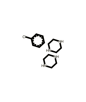 C1CNCCN1.C1CNCCN1.Clc1ccccc1